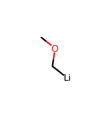 [Li][CH2]OC